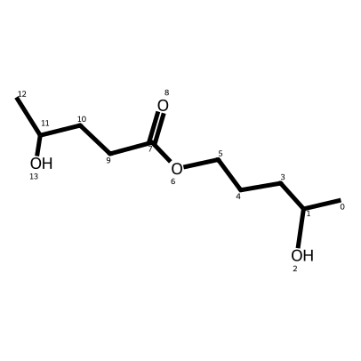 CC(O)CCCOC(=O)CCC(C)O